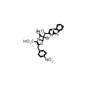 CC(=O)OC(c1cn2c(n1)sc1ccccc12)C1(Br)C(=O)N2C(C(=O)O)=C(Cc3ccc([N+](=O)[O-])cc3)SC21